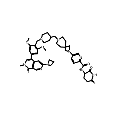 COc1cc(-c2cn(C)c(=O)c3cnc(N4CCC4)cc23)cc(OC)c1CN1CCC(CN2CCC3(CC2)CN(c2ccc(C(=O)NC4CCC(=O)NC4=O)nc2)C3)CC1